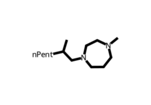 CCCCCC(C)CN1CCCN(C)CC1